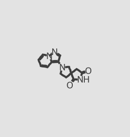 O=C1CC2(CCN(c3cnn4ccccc34)C2)C(=O)N1